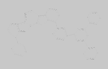 c1ccc(-c2cc(-c3ccccc3)nc(-c3cccc(-c4cccc5c4oc4c5ccc5c6cccc(-c7ccccc7)c6oc54)c3)n2)cc1